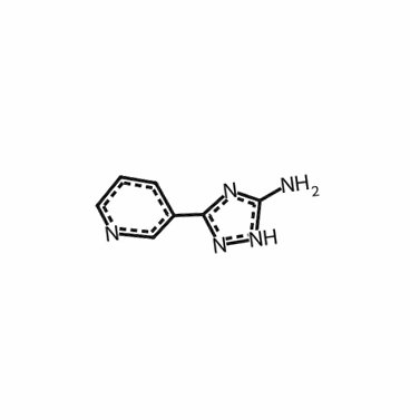 Nc1nc(-c2cccnc2)n[nH]1